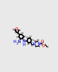 CCOC(=O)N1CCN(Cc2cccc(Nc3ccc(-c4ccoc4)cc3N)c2)CC1